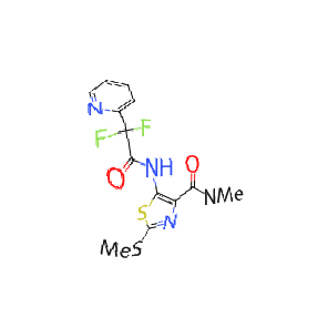 CNC(=O)c1nc(SC)sc1NC(=O)C(F)(F)c1ccccn1